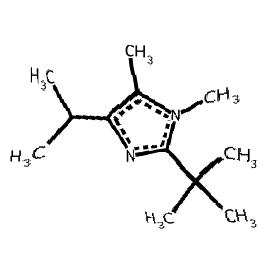 Cc1c(C(C)C)nc(C(C)(C)C)n1C